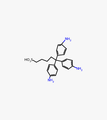 Nc1ccc(C(CCCCS(=O)(=O)O)(c2ccc(N)cc2)c2ccc(N)cc2)cc1